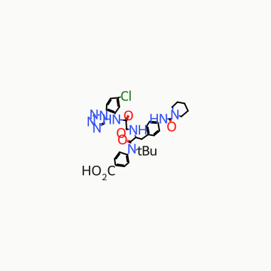 CC(C)(C)N(C(=O)C(Cc1ccc(NC(=O)N2CCCCC2)cc1)NC(=O)C(=O)Nc1cc(Cl)ccc1-n1cnnn1)c1ccc(C(=O)O)cc1